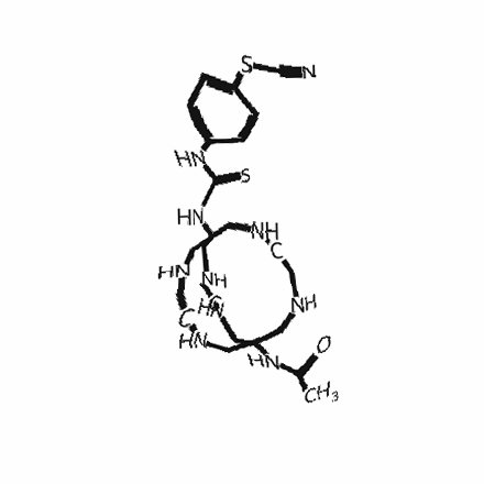 CC(=O)NC12CNCCNCC(NC(=S)Nc3ccc(SC#N)cc3)(CNCCNC1)CNCCNC2